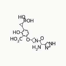 N[C@H](C(=O)N1CC(Oc2ccc(C3C[C@H]3B(O)O)c(O)c2C(=O)O)C1)c1c[nH]cn1